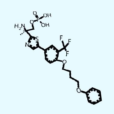 C[C@](N)(COP(=O)(O)O)c1ncc(-c2ccc(OCCCCOc3ccccc3)c(C(F)(F)F)c2)s1